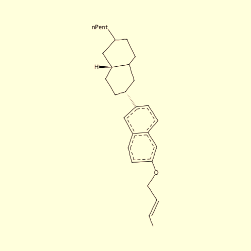 C/C=C/COc1ccc2cc([C@@H]3CC[C@@H]4CC(CCCCC)CCC4C3)ccc2c1